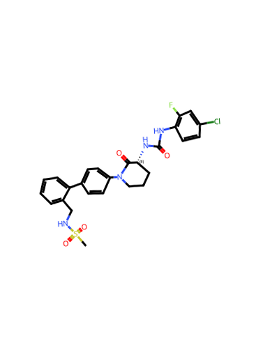 CS(=O)(=O)NCc1ccccc1-c1ccc(N2CCC[C@@H](NC(=O)Nc3ccc(Cl)cc3F)C2=O)cc1